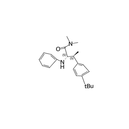 C[C@@H](c1ccc(C(C)(C)C)cc1)[C@H](Nc1ccccc1)C(=O)N(C)C